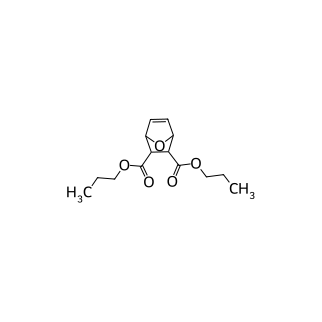 CCCOC(=O)C1C2C=CC(O2)C1C(=O)OCCC